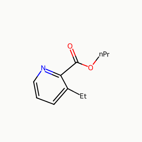 [CH2]Cc1cccnc1C(=O)OCCC